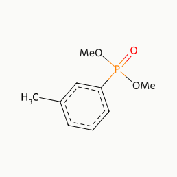 COP(=O)(OC)c1cccc(C)c1